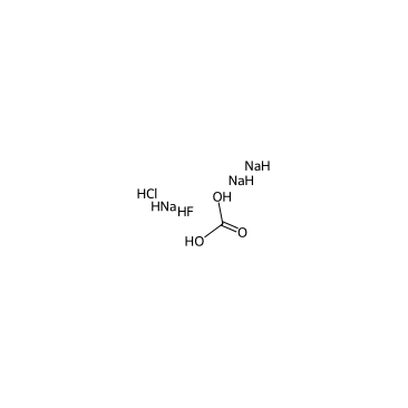 Cl.F.O=C(O)O.[NaH].[NaH].[NaH]